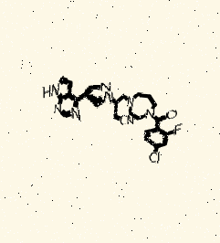 N#CCC(CN1CCCN(C(=O)c2ccc(Cl)cc2F)CC1)n1cc(-c2ncnc3[nH]ccc23)cn1